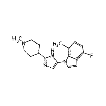 Cc1ccc(F)c2ccn(-c3cnc(C4CCN(C)CC4)[nH]3)c12